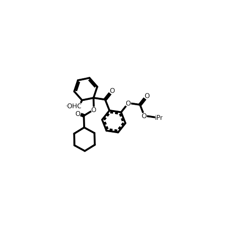 CC(C)OC(=O)Oc1ccccc1C(=O)C1(OC(=O)C2CCCCC2)C=CC=CC1[C]=O